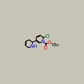 CC(C)(C)OC(=O)N1C=C(C2CC=CCN2)C=CC1Cl